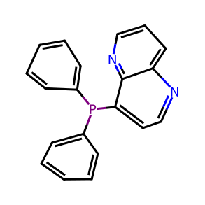 c1ccc(P(c2ccccc2)c2ccnc3cccnc23)cc1